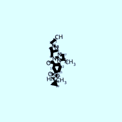 C#CCn1cc(CN2C(=O)c3cc(S(=O)(=O)NC4(C)CC4)ccc3N3C2=NC[C@H]3C)cn1